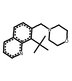 CC(C)(C)c1c(CN2CCOCC2)ccc2cccnc12